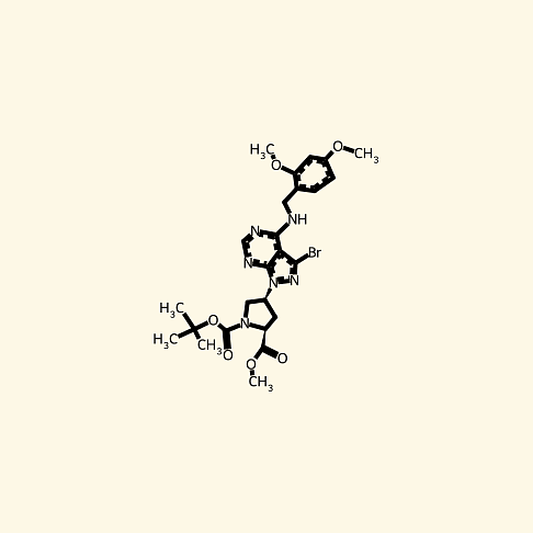 COC(=O)[C@@H]1C[C@H](n2nc(Br)c3c(NCc4ccc(OC)cc4OC)ncnc32)CN1C(=O)OC(C)(C)C